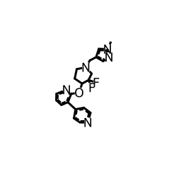 Cn1cc(CN2CCC(Oc3ncccc3-c3ccncc3)C(F)(F)C2)cn1